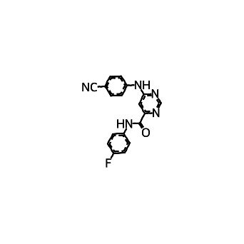 N#Cc1ccc(Nc2cc(C(=O)Nc3ccc(F)cc3)ncn2)cc1